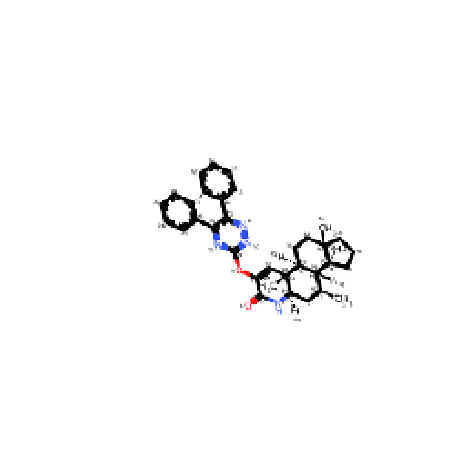 C[C@H]1C[C@H]2NC(=O)C(Oc3nnc(-c4ccccc4)c(-c4ccccc4)n3)=C[C@]2(C)[C@H]2CC[C@]3(C)CCC[C@H]3[C@H]12